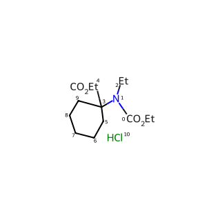 CCOC(=O)N(CC)C1(C(=O)OCC)CCCCC1.Cl